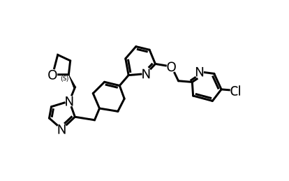 Clc1ccc(COc2cccc(C3=CCC(Cc4nccn4C[C@@H]4CCO4)CC3)n2)nc1